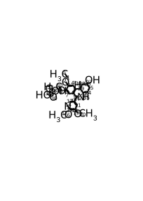 CCOc1cc2c(cc1OC)C(c1cnc(OC)c(OC)c1)=N[C@@H]1CC[C@@H](O)C[C@H]21.O=S(=O)(O)O